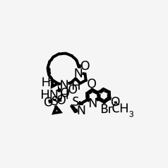 COc1ccc2c(O[C@@H]3C[C@H]4C(=O)N[C@]5(C(=O)NS(=O)(=O)C6CC6)C[C@H]5/C=C\CCCCCCC(=O)N4C3)cc(-c3nccs3)nc2c1Br